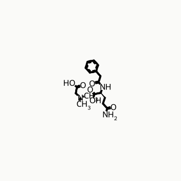 CN(C)CC(=O)O.NC(=O)CC[C@H](NC(=O)Cc1ccccc1)C(=O)O